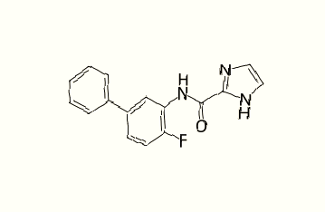 O=C(Nc1cc(-c2ccccc2)ccc1F)c1ncc[nH]1